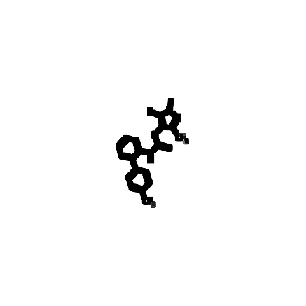 Cn1nc(C(F)(F)F)c(OC(=O)Nc2ccccc2-c2ccc(C(F)(F)F)cc2)c1F